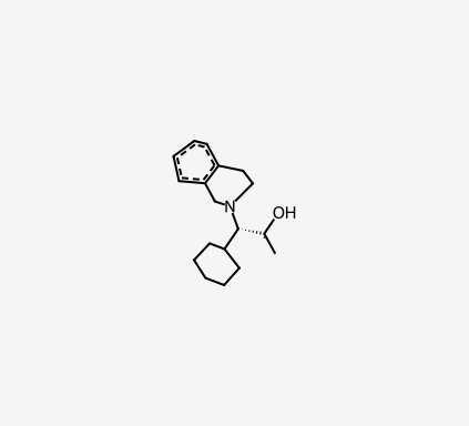 C[C](O)[C@H](C1CCCCC1)N1CCc2ccccc2C1